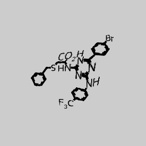 O=C(O)[C@H](CSCc1ccccc1)Nc1nc(Nc2ccc(C(F)(F)F)cc2)nc(-c2ccc(Br)cc2)n1